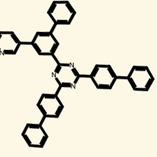 c1ccc(-c2ccc(-c3nc(-c4ccc(-c5ccccc5)cc4)nc(-c4cc(-c5ccccc5)cc(-c5cccnc5)c4)n3)cc2)cc1